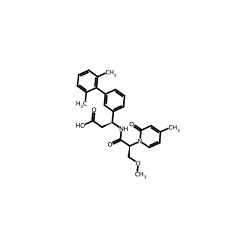 COC[C@@H](C(=O)N[C@@H](CC(=O)O)c1cccc(-c2c(C)cccc2C)c1)n1ccc(C)cc1=O